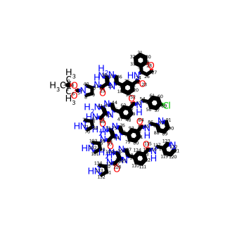 CC(C)(C)OC(=O)N1CC[C@H](NC(=O)c2nc(-c3cccc(C(=O)NC4CCOc5ccccc54)c3)cnc2N)C1.Nc1ncc(-c2cccc(C(=O)NCc3ccc(Cl)cc3)c2)nc1C(=O)N[C@H]1CCNC1.Nc1ncc(-c2cccc(C(=O)NCc3ccccn3)c2)nc1C(=O)N[C@H]1CCNC1.Nc1ncc(-c2cccc(C(=O)NCc3cccnc3)c2)nc1C(=O)N[C@H]1CCNC1